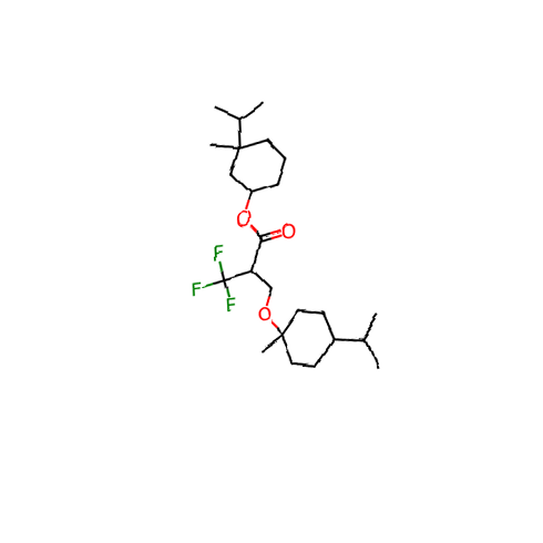 CC(C)C1CCC(C)(OCC(C(=O)OC2CCCC(C)(C(C)C)C2)C(F)(F)F)CC1